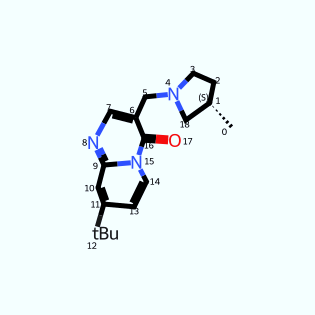 C[C@H]1CCN(Cc2cnc3cc(C(C)(C)C)ccn3c2=O)C1